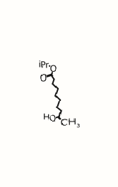 CC(O)CCCCCCCC(=O)OC(C)C